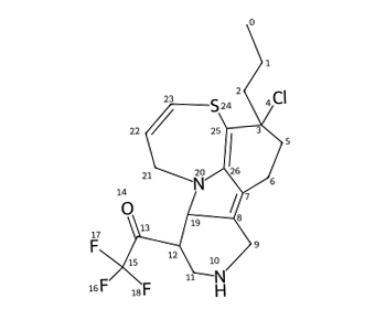 CCCC1(Cl)CCC2=C3CNCC(C(=O)C(F)(F)F)C3N3CC=CSC1=C23